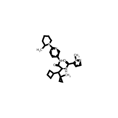 CC1CCCCN1c1ccc(NC(=O)[C@@H](NC(=O)c2ccnn2C)C(C2CCC2)C2(C)CC2)cn1